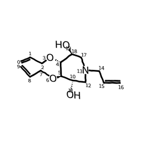 C=CCO[C@H]1[C@H](OCC=C)[C@@H](O)CN(CC=C)C[C@@H]1O